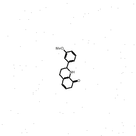 COc1cccc(C2CCC3=C(N2)C(=O)CC=C3)c1